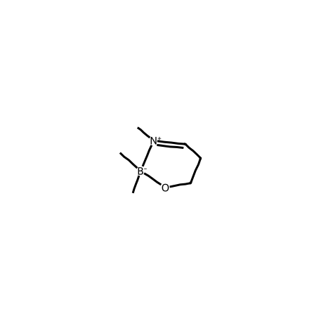 C[N+]1=CCCO[B-]1(C)C